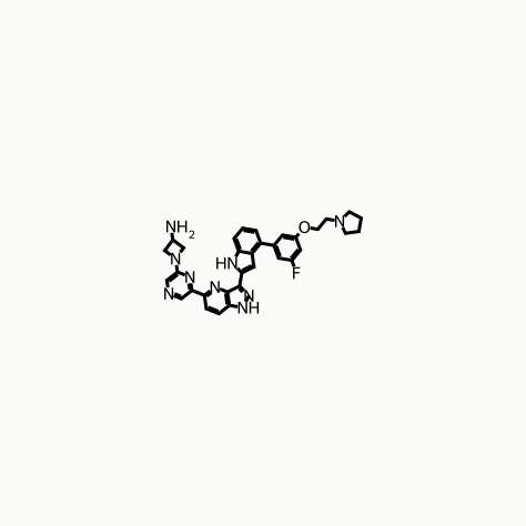 NC1CN(c2cncc(-c3ccc4[nH]nc(-c5cc6c(-c7cc(F)cc(OCCN8CCCC8)c7)cccc6[nH]5)c4n3)n2)C1